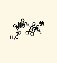 CCOC(=O)CCC[N+]1(c2ccccc2)CCN(C(=O)NC2(c3ccccc3)CCN(CCC(CN(C)C(=O)c3cc(-n4cnnn4)ccc3OC)c3ccc(Cl)c(Cl)c3)CC2)CC1